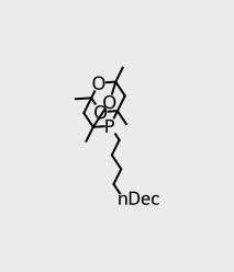 CCCCCCCCCCCCCCP1C2(C)CC3(C)OC(C)(CC1(C)O3)O2